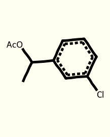 CC(=O)OC(C)c1cccc(Cl)c1